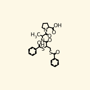 CC(NC(=O)C(CSC(=O)c1ccccc1)SC(=O)c1ccccc1)C(=O)N1CCCC1C(=O)O